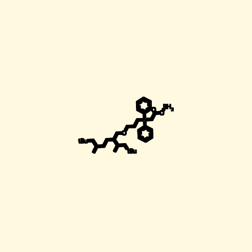 BOC(=O)CS(CCCOCC(CCC(C)CC(C)(C)C)C(C)CC(C)(C)C)(c1ccccc1)c1ccccc1